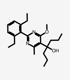 CCCC(O)(CCC)c1c(C)nc(-c2c(CC)cccc2CC)nc1OC